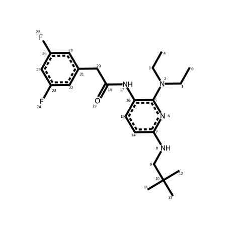 CCN(CC)c1nc(NCC(C)(C)C)ccc1NC(=O)Cc1cc(F)cc(F)c1